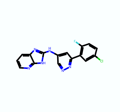 Fc1ccc(Cl)cc1-c1cc(Nc2nc3cccnc3[nH]2)cnn1